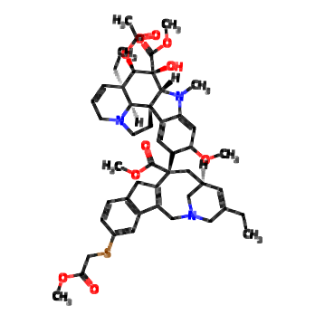 CCC1=C[C@H]2CN(C1)CC1=C(Cc3ccc(SCC(=O)OC)cc31)[C@@](C(=O)OC)(C1C=C3C(=CC1OC)N(C)[C@H]1[C@@](O)(C(=O)OC)[C@H](OC(C)=O)[C@]4(CC)C=CCN5CC[C@]31[C@@H]54)C2